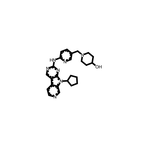 OC1CCN(Cc2ccc(Nc3ncc4c5ccncc5n(C5CCCC5)c4n3)nc2)CC1